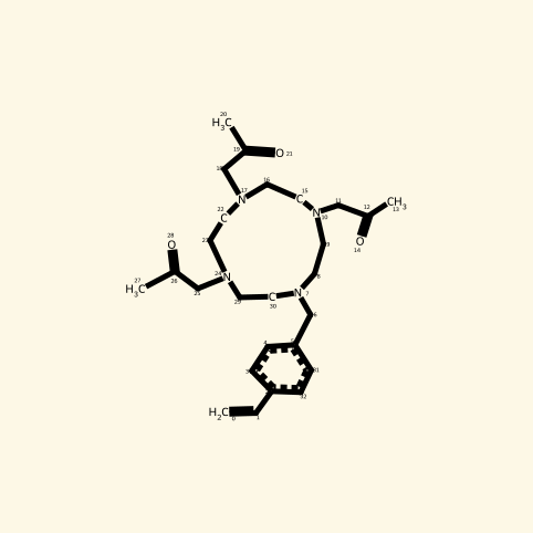 C=Cc1ccc(CN2CCN(CC(C)=O)CCN(CC(C)=O)CCN(CC(C)=O)CC2)cc1